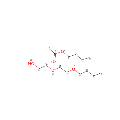 CCCCOC(C)=O.CCCCOCCOCCO